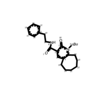 CCCCn1c2c(cc(C(=O)NCCc3ccccc3)c1=O)CCCCCC2